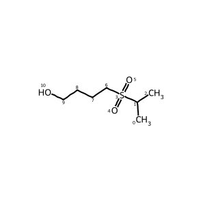 CC(C)S(=O)(=O)CCCCO